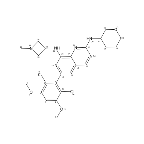 COc1cc(OC)c(Cl)c(-c2cc3cnc(NC4CCCOC4)nc3c(NC3CN(C)C3)n2)c1Cl